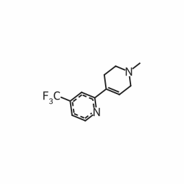 CN1CC=C(c2cc(C(F)(F)F)ccn2)CC1